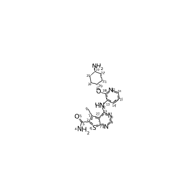 Cc1c(C(N)=O)sc2ncnc(Nc3cccnc3O[C@H]3CC[C@H](N)CC3)c12